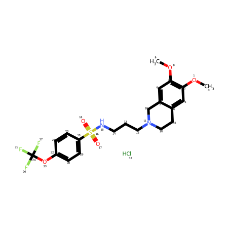 COc1cc2c(cc1OC)CN(CCCNS(=O)(=O)c1ccc(OC(F)(F)F)cc1)CC2.Cl